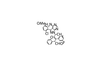 COc1ccc(Cl)c(-c2nn(C(C)C3=C(c4cccc(F)c4)C(C=O)c4ccccc4O3)c3ncnc(N)c23)c1